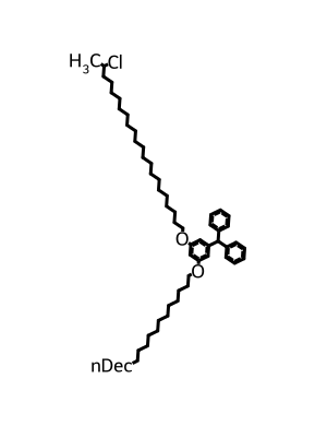 CCCCCCCCCCCCCCCCCCCCCCOc1cc(OCCCCCCCCCCCCCCCCCCCCC(C)Cl)cc(C(c2ccccc2)c2ccccc2)c1